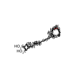 CC[C@H](C)[C@@H]1NC(=O)[C@H](CC(C)C)NC(=O)C2(CCOCC2)NC(=O)CCSCc2cccc(n2)CSC[C@@H](C(=O)NCCCOCCOCCOCCCNC(=O)CCC(=O)N[C@@H](CCCCNC(=O)CN2CCN(CC(=O)O)CCN(CC(=O)O)CCN(CC(=O)O)CC2)C(N)=O)NC1=O